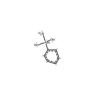 N[AsH](O)(O)c1ccccc1